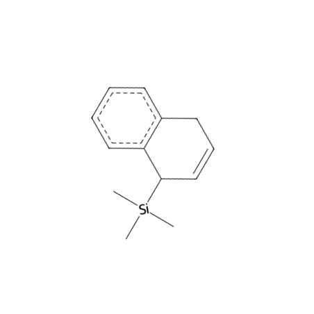 C[Si](C)(C)C1C=CCc2ccccc21